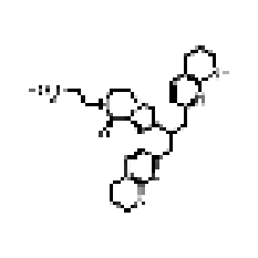 O=C(O)CCN1CCn2cc(C(Cc3ccc4c(n3)NCCC4)Cc3ccc4c(n3)NCCC4)cc2C1=O